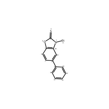 CCn1c(=S)oc2ccc(-c3ccccc3)cc21